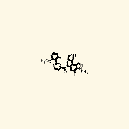 COc1cccc(F)c1-c1nccc(C(=O)Nc2cc(F)c3c(cnn3C)c2C2CCNC2)n1